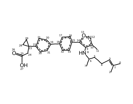 CC(C)=CCCC(C)Nc1c(C)noc1-c1ccc(-c2ccc(C3(CC(=O)O)CC3)cc2)cc1